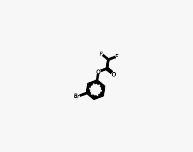 O=C(Oc1cccc(Br)c1)C(F)F